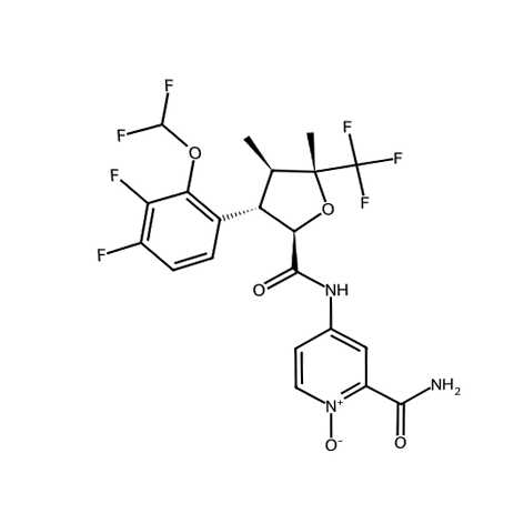 C[C@@H]1[C@@H](c2ccc(F)c(F)c2OC(F)F)[C@H](C(=O)Nc2cc[n+]([O-])c(C(N)=O)c2)O[C@@]1(C)C(F)(F)F